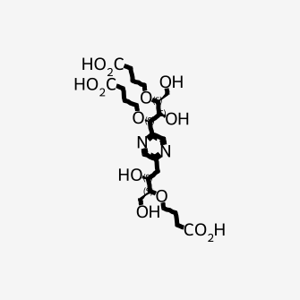 O=C(O)CCCO[C@@H](CO)[C@@H](O)[C@@H](OCCCC(=O)O)c1cnc(C[C@H](O)[C@H](CO)OCCCC(=O)O)cn1